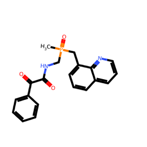 CP(=O)(CNC(=O)C(=O)c1ccccc1)Cc1cccc2cccnc12